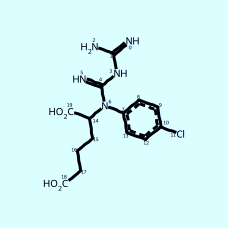 N=C(N)NC(=N)N(c1ccc(Cl)cc1)C(CCCC(=O)O)C(=O)O